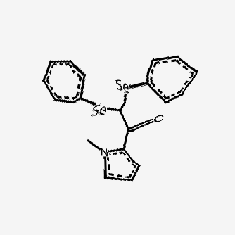 Cn1cccc1C(=O)C([Se]c1ccccc1)[Se]c1ccccc1